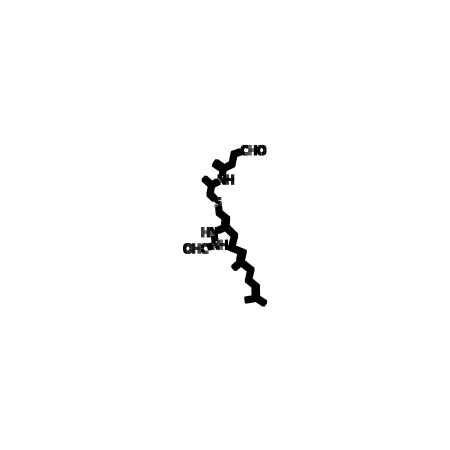 C=C(CCC=O)NC(C)CSC/C=C(/CC/C=C(\C)CCC=C(C)C)NNC=O